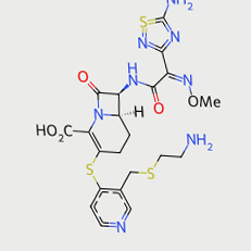 CO/N=C(\C(=O)N[C@@H]1C(=O)N2C(C(=O)O)=C(Sc3ccncc3CSCCN)CC[C@H]12)c1nsc(N)n1